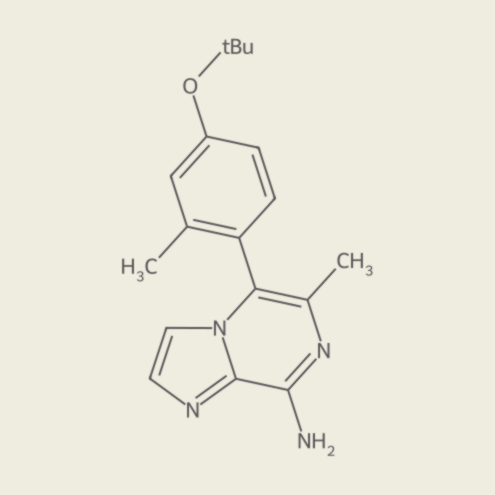 Cc1cc(OC(C)(C)C)ccc1-c1c(C)nc(N)c2nccn12